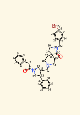 O=C(Cc1ccccc1)N1CC(CN2CCC3(CC2)CCN(Cc2ccc(Br)cc2)C3=O)C(c2ccccc2)C1